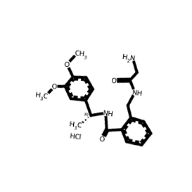 COc1ccc([C@@H](C)NC(=O)c2ccccc2CNC(=O)CN)cc1OC.Cl